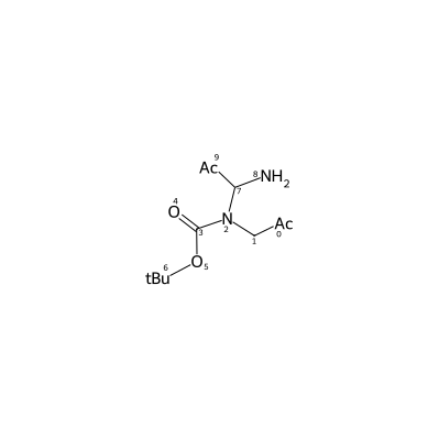 CC(=O)CN(C(=O)OC(C)(C)C)C(N)C(C)=O